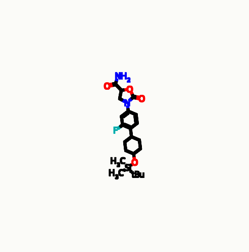 CC(C)(C)[Si](C)(C)OC1CCC(c2ccc(N3CC(C(N)=O)OC3=O)cc2F)CC1